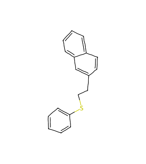 c1ccc(SCCc2ccc3ccccc3c2)cc1